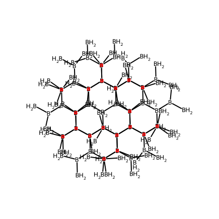 BBB(B(B)B)B(B(B)B)B(B(B(B)B)B(B)B)B(B(B(B(B(B)B)B(B)B)B(B(B)B)B(B)B)B(B(B(B)B)B(B)B)B(B(B)B)B(B)B)B(B(B(B(B(B)B)B(B)B)B(B(B)B)B(B)B)B(B(B(B)B)B(B)B)B(B(B)B)B(B)B)B(B(B(B(B)B)B(B)B)B(B(B)B)B(B)B)B(B(B(B)B)B(B)B)B(B(B)B)B(B)B